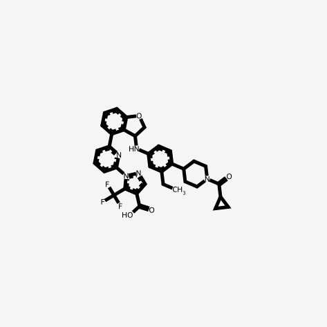 CCc1cc(NC2COc3cccc(-c4cccc(-n5ncc(C(=O)O)c5C(F)(F)F)n4)c32)ccc1C1CCN(C(=O)C2CC2)CC1